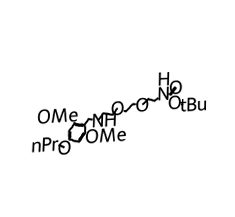 CCCOc1cc(OC)c(CNCCOCCOCCNC(=O)OC(C)(C)C)c(OC)c1